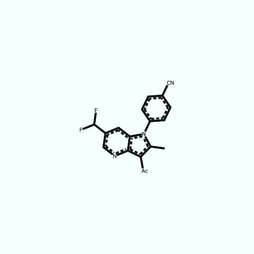 CC(=O)c1c(C)n(-c2ccc(C#N)cc2)c2cc(C(F)F)cnc12